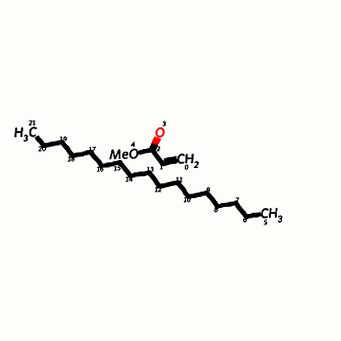 C=CC(=O)OC.CCCCCCCCCCCCCCCCC